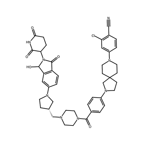 N#Cc1ccc(N2CCC3(CC2)CCN(c2ccc(C(=O)N4CCN(C[C@@H]5CCN(c6ccc7c(c6)C(O)N(C6CCC(=O)NC6=O)C7=O)C5)CC4)cc2)C3)cc1Cl